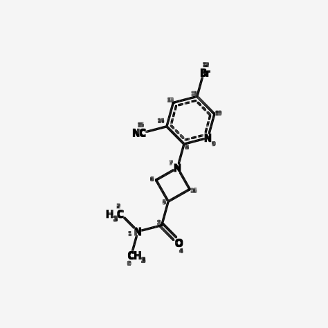 CN(C)C(=O)C1CN(c2ncc(Br)cc2C#N)C1